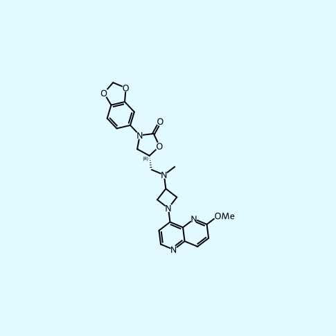 COc1ccc2nccc(N3CC(N(C)C[C@@H]4CN(c5ccc6c(c5)OCO6)C(=O)O4)C3)c2n1